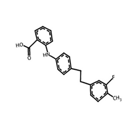 Cc1ccc(CCc2ccc(Nc3ccccc3C(=O)O)cc2)cc1F